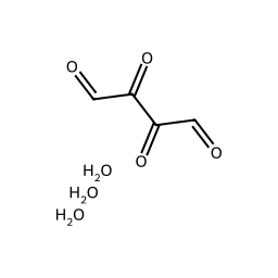 O.O.O.O=CC(=O)C(=O)C=O